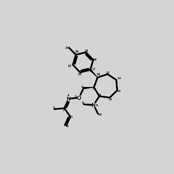 C=C/C(C)=N\OC[C@@H]1C(N(C)C)CCCC[C@@H]1c1ccc(C)cc1